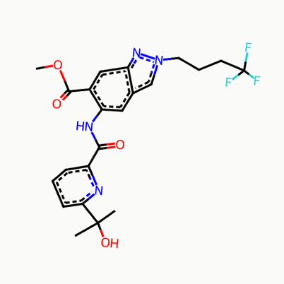 COC(=O)c1cc2nn(CCCC(F)(F)F)cc2cc1NC(=O)c1cccc(C(C)(C)O)n1